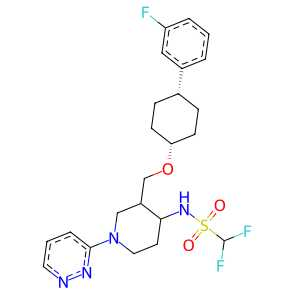 O=S(=O)(NC1CCN(c2cccnn2)CC1CO[C@H]1CC[C@@H](c2cccc(F)c2)CC1)C(F)F